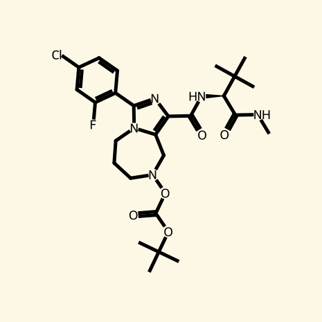 CNC(=O)[C@@H](NC(=O)c1nc(-c2ccc(Cl)cc2F)n2c1CN(OC(=O)OC(C)(C)C)CCC2)C(C)(C)C